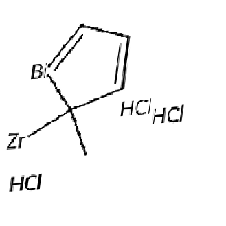 C[C]1([Zr])C=C[CH]=[Bi]1.Cl.Cl.Cl